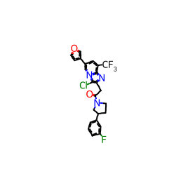 O=C(Cc1nc2c(C(F)(F)F)cc(-c3ccoc3)cn2c1Cl)N1CCC(c2cccc(F)c2)C1